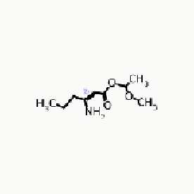 CCC/C(N)=C/C(=O)OC(C)OC